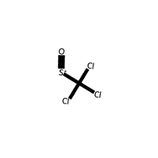 O=[S+]C(Cl)(Cl)Cl